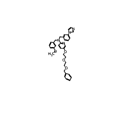 COc1cccc(CN(Cc2cccc(-n3ccnc3)c2)c2ccc(OCCOCCOCc3ccccc3)cn2)c1